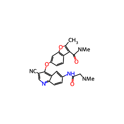 CNCC(=O)Nc1ccc2ncc(C#N)c(Oc3ccc4c(C(=O)NC)c(C)oc4c3)c2c1